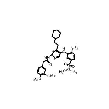 COc1ccc(CC(=O)Nc2ncc(Nc3cc(S(=O)(=O)N(C)C)ccc3C)c(CCC3CCCCC3)n2)cc1OC